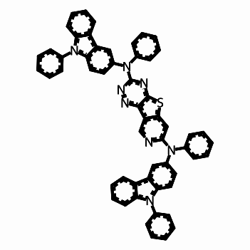 c1ccc(N(c2ccc3c(c2)c2ccccc2n3-c2ccccc2)c2cc3sc4nc(N(c5ccccc5)c5ccc6c(c5)c5ccccc5n6-c5ccccc5)nnc4c3cn2)cc1